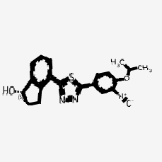 [C-]#[N+]c1cc(-c2nnc(-c3cccc4c3CC[C@@H]4O)s2)ccc1OC(C)C